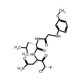 COc1cccc(NCC(=O)N[C@@H](CC(C)C)C(=O)NC(CC(N)=O)C(=O)[C@H](F)Cl)c1